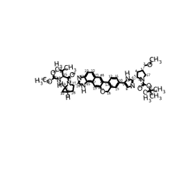 COC[C@H]1C[C@@H](c2ncc(-c3ccc4c(c3)COc3cc5c(ccc6nc([C@@H]7C[C@@H]8C[C@@H]8N7C(=O)[C@@H](NC(=O)OC)C(C)C)[nH]c65)cc3-4)[nH]2)N(C(=O)OC(C)(C)C)C1